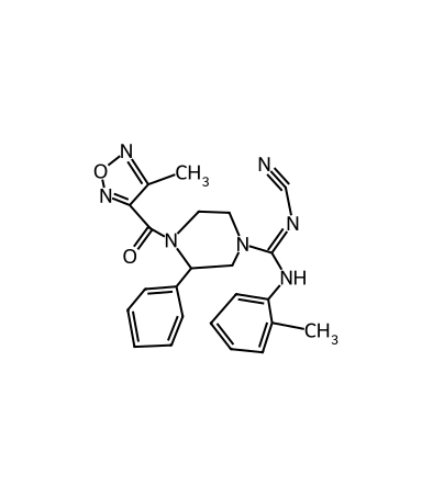 Cc1ccccc1N/C(=N/C#N)N1CCN(C(=O)c2nonc2C)C(c2ccccc2)C1